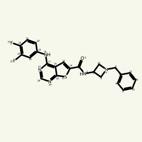 O=C(NC1CN(Cc2ccccc2)C1)c1cc2c(Nc3ccc(F)c(F)c3)ncnc2s1